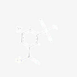 NC(=O)c1cccc(S(=O)(=O)[O-])c1.[Na+]